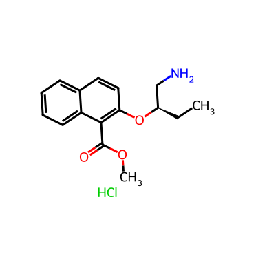 CC[C@H](CN)Oc1ccc2ccccc2c1C(=O)OC.Cl